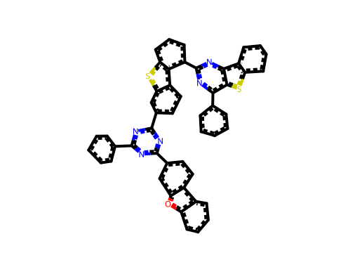 c1ccc(-c2nc(-c3ccc4c(c3)oc3ccccc34)nc(-c3ccc4c(c3)sc3cccc(-c5nc(-c6ccccc6)c6sc7ccccc7c6n5)c34)n2)cc1